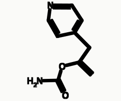 C=C(Cc1ccncc1)OC(N)=O